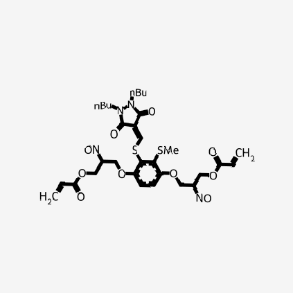 C=CC(=O)OCC(COc1ccc(OCC(COC(=O)C=C)N=O)c(SC=C2C(=O)N(CCCC)N(CCCC)C2=O)c1SC)N=O